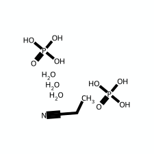 CCC#N.O.O.O.O=P(O)(O)O.O=P(O)(O)O